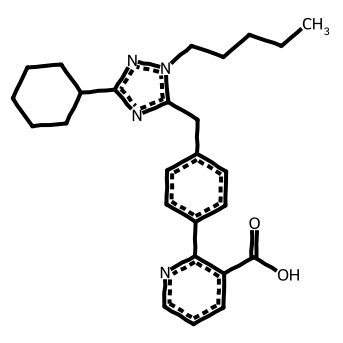 CCCCCn1nc(C2CCCCC2)nc1Cc1ccc(-c2ncccc2C(=O)O)cc1